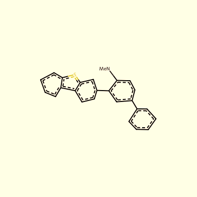 CNc1ccc(-c2ccccc2)cc1-c1ccc2c(c1)sc1ccccc12